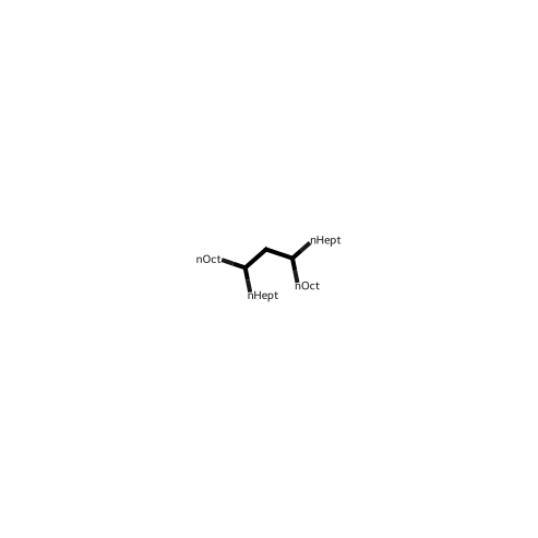 CCCCCCCCC([CH]C(CCCCCCC)CCCCCCCC)CCCCCCC